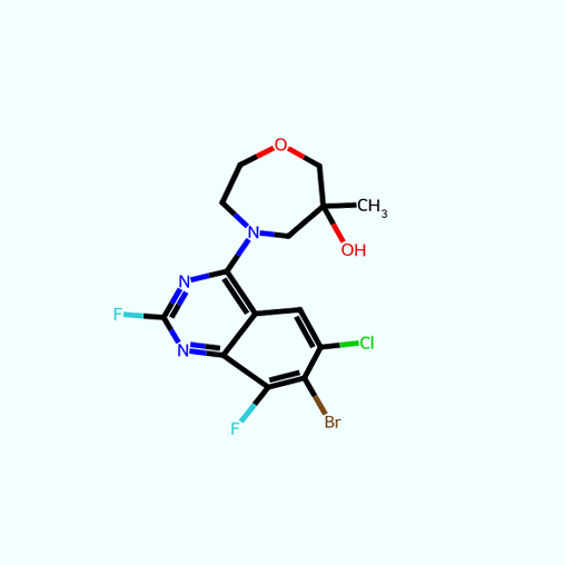 CC1(O)COCCN(c2nc(F)nc3c(F)c(Br)c(Cl)cc23)C1